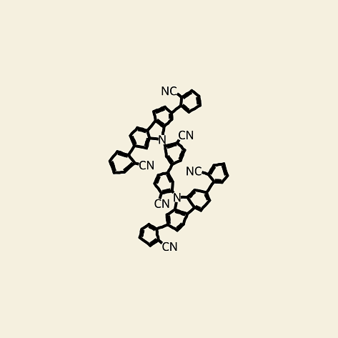 N#Cc1ccccc1-c1ccc2c3ccc(-c4ccccc4C#N)cc3n(-c3cc(-c4ccc(C#N)c(-n5c6cc(-c7ccccc7C#N)ccc6c6ccc(-c7ccccc7C#N)cc65)c4)ccc3C#N)c2c1